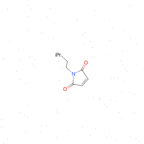 CC(C)CCN1C(=O)C=CC1=O